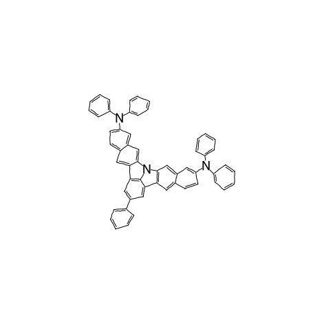 c1ccc(-c2cc3c4cc5ccc(N(c6ccccc6)c6ccccc6)cc5cc4n4c5cc6cc(N(c7ccccc7)c7ccccc7)ccc6cc5c(c2)c34)cc1